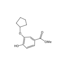 COC(=O)c1ccc(O)c(OC2CCCC2)c1